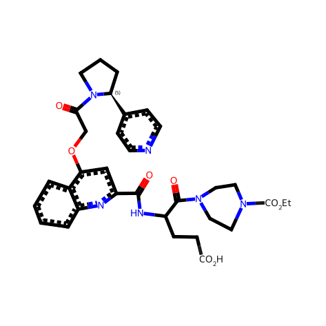 CCOC(=O)N1CCN(C(=O)C(CCC(=O)O)NC(=O)c2cc(OCC(=O)N3CCC[C@H]3c3ccncc3)c3ccccc3n2)CC1